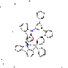 c1ccc(-c2cc(-c3ccccc3)cc(-n3c4ccccc4c4cc(-n5c6ccccc6c6cccc([Si](c7ccccc7)(c7ccccc7)c7ccccc7)c65)ccc43)c2)cc1